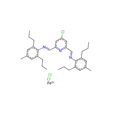 CCCc1cc(C)cc(CCC)c1N=Cc1cc(Cl)cc(C=Nc2c(CCC)cc(C)cc2CCC)n1.[Cl-].[Cl-].[Fe+2]